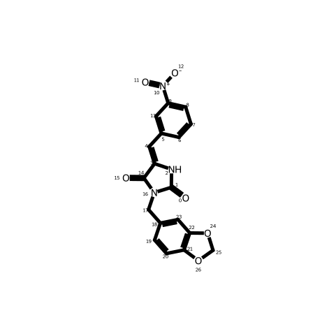 O=C1NC(=Cc2cccc([N+](=O)[O-])c2)C(=O)N1Cc1ccc2c(c1)OCO2